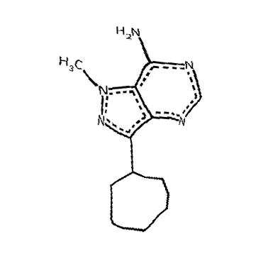 Cn1nc(C2CCCCC2)c2ncnc(N)c21